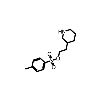 Cc1ccc(S(=O)(=O)OCCC2CCCNC2)cc1